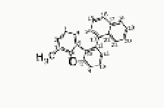 Cc1cccc2c1oc1cccc(-c3cccc4ccccc34)c12